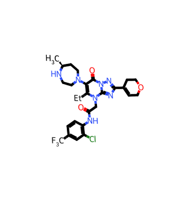 CCc1c(N2CCN[C@@H](C)CC2)c(=O)n2nc(C3=CCOCC3)nc2n1CC(=O)Nc1ccc(C(F)(F)F)cc1Cl